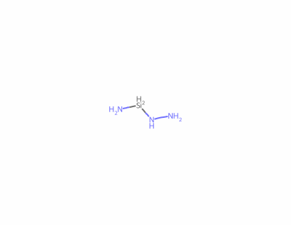 NN[SiH2]N